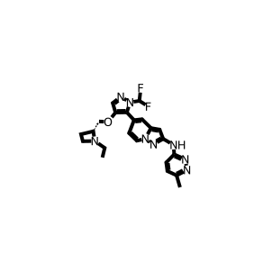 CCN1CC[C@@H]1COc1cnn(C(F)F)c1-c1ccn2nc(Nc3ccc(C)nn3)cc2c1